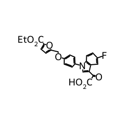 CCOC(=O)c1ccc(COc2ccc(-n3cc(C(=O)C(=O)O)c4cc(F)ccc43)cc2)o1